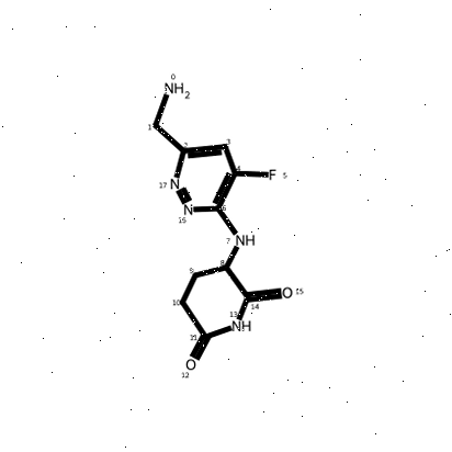 NCc1cc(F)c(NC2CCC(=O)NC2=O)nn1